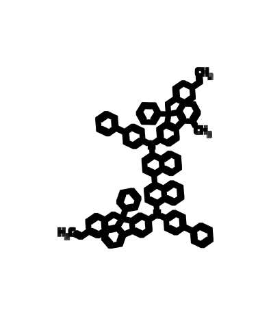 C=Cc1ccc(CC2(c3ccccc3)c3ccccc3-c3ccc(N(c4ccc(-c5ccccc5)cc4)c4ccc(-c5ccc(N(c6ccc(-c7ccccc7)cc6)c6ccc7c(c6)C(CC6=CCC(C=C)CC6)(c6ccccc6)C6=C7C(C)=CCC6)c6ccccc56)c5ccccc45)cc32)cc1